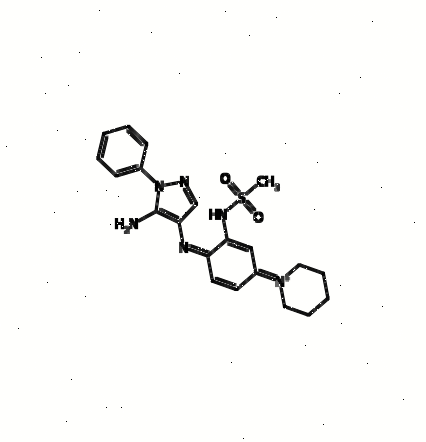 CS(=O)(=O)NC1=CC(=[N+]2CCCCC2)C=C/C1=N/c1cnn(-c2ccccc2)c1N